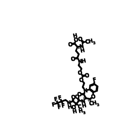 CC(=O)N[C@@H](CCC(=O)NCCOC(=O)OCCN1C(=O)[C@@H](NC(=O)C(C)(O)C(=O)NCC(F)(F)C(F)(F)F)[C@@H](C)Oc2ccc(F)cc21)C(=O)O